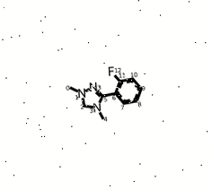 CN1CN(C)C(c2ccccc2F)=N1